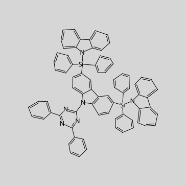 c1ccc(-c2nc(-c3ccccc3)nc(-n3c4ccc([Si](c5ccccc5)(c5ccccc5)n5c6ccccc6c6ccccc65)cc4c4cc([Si](c5ccccc5)(c5ccccc5)n5c6ccccc6c6ccccc65)ccc43)n2)cc1